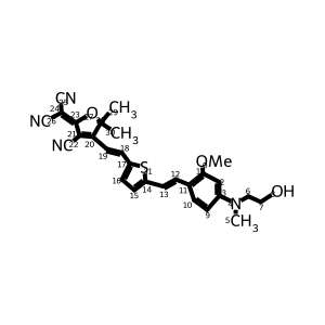 COc1cc(N(C)CCO)ccc1/C=C/c1ccc(/C=C/C2=C(C#N)C(=C(C#N)C#N)OC2(C)C)s1